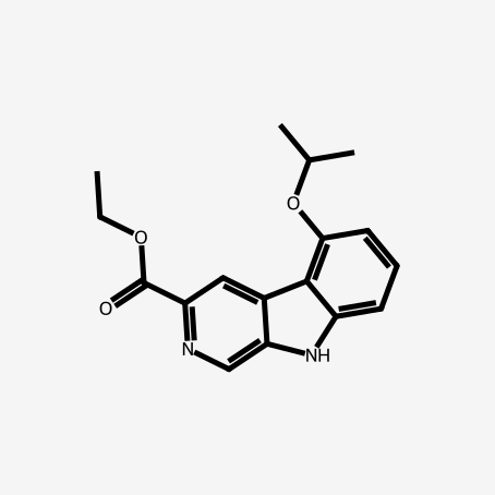 CCOC(=O)c1cc2c(cn1)[nH]c1cccc(OC(C)C)c12